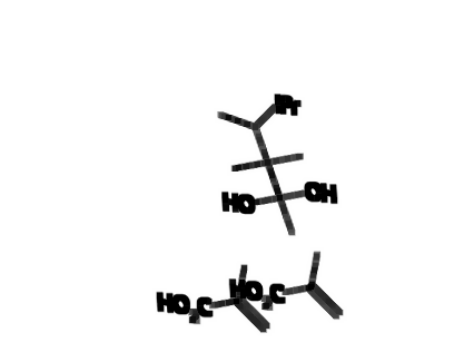 C=C(C)C(=O)O.C=C(C)C(=O)O.CC(C)C(C)C(C)(C)C(C)(O)O